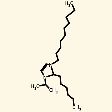 CCCCCCCCCCN1C=CN(C(C)C)C1CCCCCC